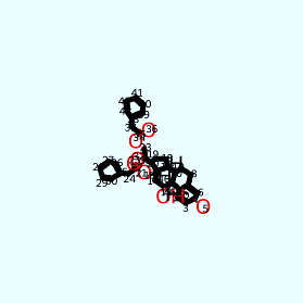 C[C@]12C=CC(=O)C=C1CC[C@@H]1[C@@H]2C(O)C[C@@]2(C)[C@H]1CC[C@]2(OC(=O)Cc1ccccc1)C(=O)COC(=O)Cc1ccccc1